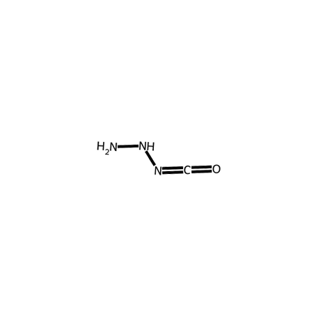 NNN=C=O